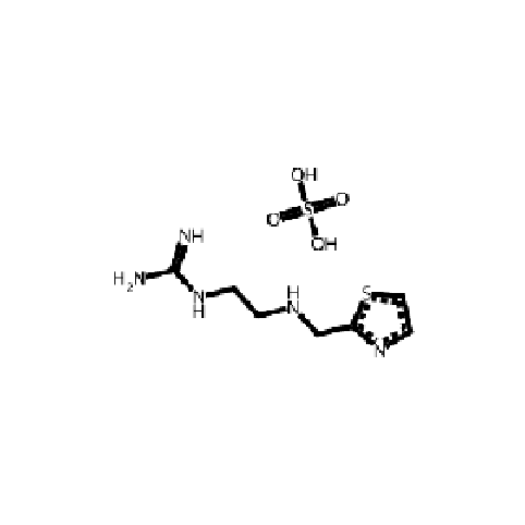 N=C(N)NCCNCc1nccs1.O=S(=O)(O)O